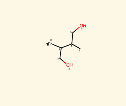 CCCC(CO)C(C)CO